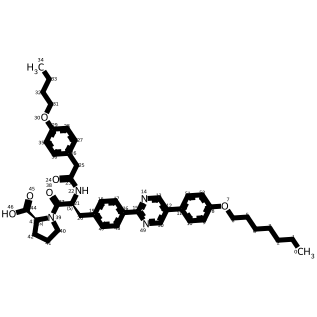 CCCCCCCOc1ccc(-c2cnc(-c3ccc(C[C@H](NC(=O)Cc4ccc(OCCCC)cc4)C(=O)N4CCC[C@H]4C(=O)O)cc3)nc2)cc1